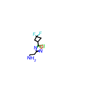 Cl.NCCc1noc(C2CC(F)(F)C2)n1